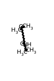 CCC(=O)C(C)CCCCCCCCCC(=O)NCCCC(C)C